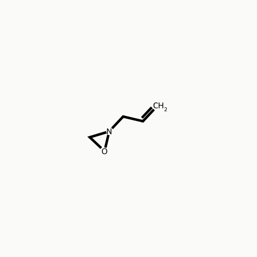 C=CCN1CO1